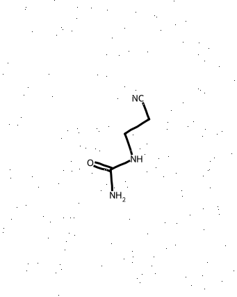 N#CCCNC(N)=O